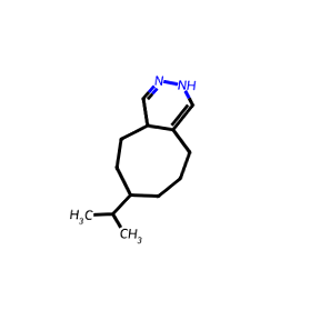 CC(C)C1CCCC2=CNN=CC2CC1